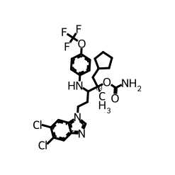 C[C@@](CC1CCCC1)(OC(N)=O)C(CCn1cnc2cc(Cl)c(Cl)cc21)Nc1ccc(OC(F)(F)F)cc1